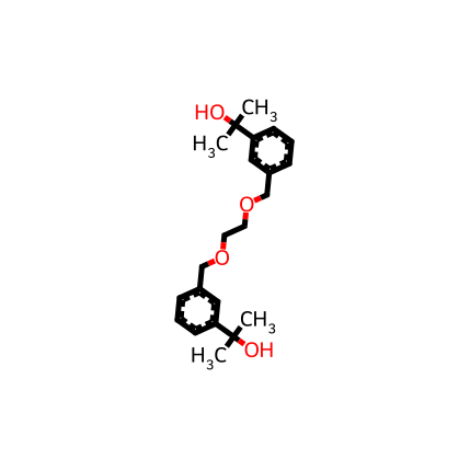 CC(C)(O)c1cccc(COCCOCc2cccc(C(C)(C)O)c2)c1